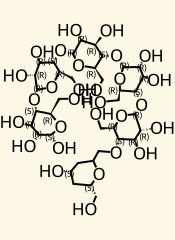 OC[C@@H]1C[C@H](O)CC(CO[C@H]2[C@H](O)[C@@H](O)[C@@H](O[C@H]3[C@H](O)[C@@H](O)[C@@H](O[C@H]4[C@H](O)[C@@H](O)[C@@H](O[C@H]5[C@H](O)[C@@H](O)[C@@H](O[C@H]6[C@H](O)[C@@H](O)[C@@H](O)O[C@@H]6CO)O[C@@H]5CO)O[C@@H]4CO)O[C@@H]3CO)O[C@@H]2CO)O1